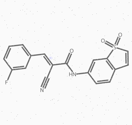 N#C/C(=C\c1cccc(F)c1)C(=O)Nc1ccc2c(c1)S(=O)(=O)C=C2